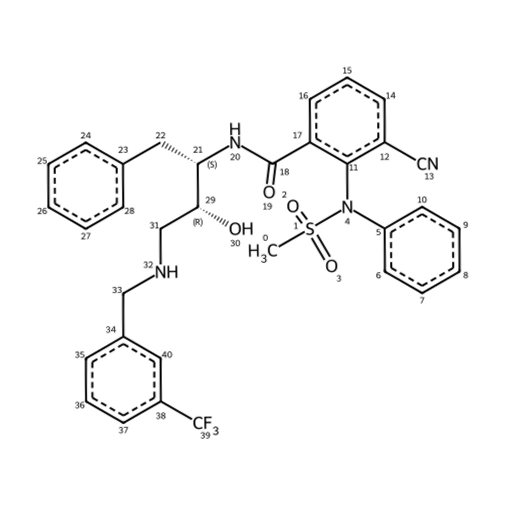 CS(=O)(=O)N(c1ccccc1)c1c(C#N)cccc1C(=O)N[C@@H](Cc1ccccc1)[C@H](O)CNCc1cccc(C(F)(F)F)c1